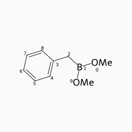 COB(Cc1ccccc1)OC